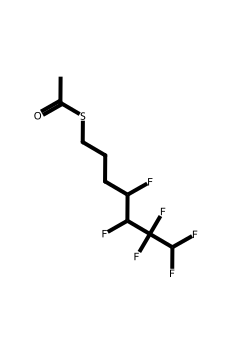 CC(=O)SCCCC(F)C(F)C(F)(F)C(F)F